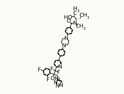 CC[C@@H]([C@H](C)O)N(C)C(=O)c1ccc(N2CCN(c3ccc(-c4ccc(C(F)(F)C(O)(Cn5cnnn5)c5ccc(F)cc5F)nc4)cc3)CC2)cc1